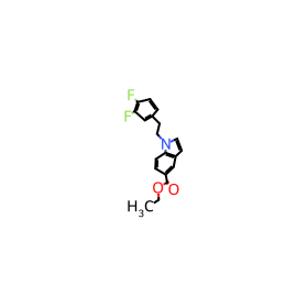 CCOC(=O)c1ccc2c(ccn2CCc2ccc(F)c(F)c2)c1